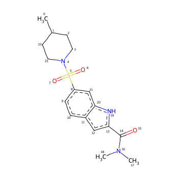 CC1CCN(S(=O)(=O)c2ccc3cc(C(=O)N(C)C)[nH]c3c2)CC1